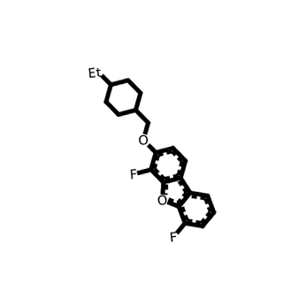 CCC1CCC(COc2ccc3c(oc4c(F)cccc43)c2F)CC1